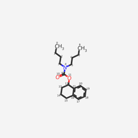 CCCCN(CCCC)C(=O)OC1CCCc2ccccc21